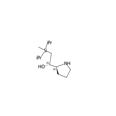 CC(C)[Si](C)(C[C@@H](O)[C@@H]1CCCN1)C(C)C